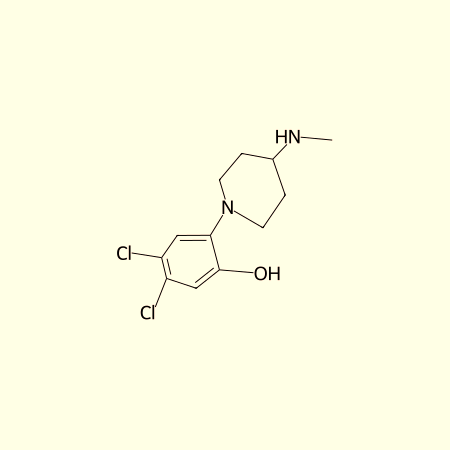 CNC1CCN(c2cc(Cl)c(Cl)cc2O)CC1